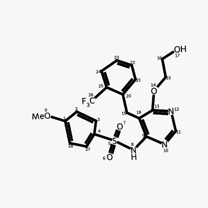 COc1ccc(S(=O)(=O)Nc2ncnc(OCCO)c2Cc2ccccc2C(F)(F)F)cc1